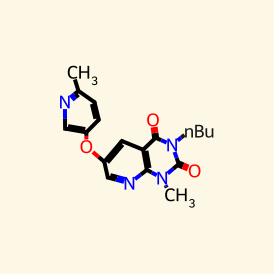 CCCCn1c(=O)c2cc(Oc3ccc(C)nc3)cnc2n(C)c1=O